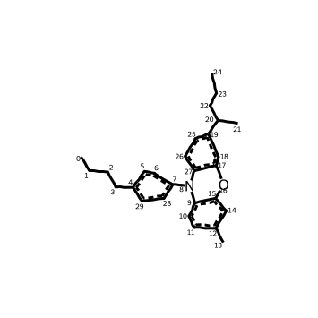 CCCCc1ccc(N2c3ccc(C)cc3Oc3cc(C(C)CCC)ccc32)cc1